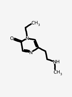 CCn1cc(CCNC)ncc1=O